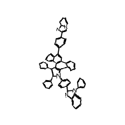 c1ccc(-c2c(-c3ccccc3)n(-c3ccc(-c4nc5ccccc5n4-c4ccccc4)cc3)c3c4ccccc4c4cc(-c5ccc(-c6cn7ccccc7n6)cc5)c5ccccc5c4c23)cc1